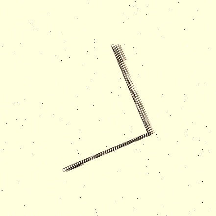 [Co+2].[Co+2].[Co+2].[Co+2].[Co+2].[Co+2].[Co+2].[Co+2].[Co+2].[Co+2].[Co+2].[Co+2].[Co+2].[Co+2].[Co+2].[O-2].[O-2].[O-2].[O-2].[O-2].[O-2].[O-2].[O-2].[O-2].[O-2].[O-2].[O-2].[O-2].[O-2].[O-2].[O-2].[O-2].[O-2].[O-2].[O-2].[O-2].[O-2].[O-2].[O-2].[O-2].[O-2].[O-2].[O-2].[O-2].[O-2].[O-2].[O-2].[O-2].[O-2].[O-2].[O-2].[O-2].[O-2].[O-2].[O-2].[O-2].[O-2].[O-2].[O-2].[O-2].[O-2].[O-2].[O-2].[O-2].[O-2].[O-2].[O-2].[O-2].[O-2].[O-2].[O-2].[O-2].[O-2].[O-2].[O-2].[O-2].[O-2].[O-2].[O-2].[O-2].[O-2].[O-2].[O-2].[O-2].[O-2].[O-2].[O-2].[O-2].[O-2].[O-2]